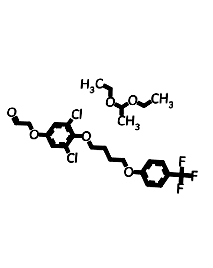 CCOC(C)OCC.O=CCOc1cc(Cl)c(OCCCCOc2ccc(C(F)(F)F)cc2)c(Cl)c1